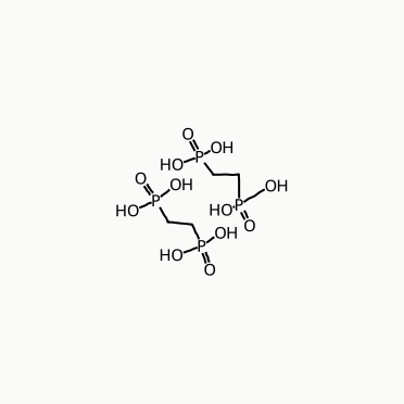 O=P(O)(O)CCP(=O)(O)O.O=P(O)(O)CCP(=O)(O)O